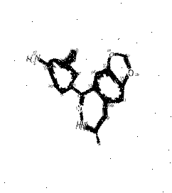 Cc1cc(C2=NN[C@H](C)Cc3cc4c(cc32)OCO4)ccc1N